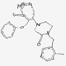 Cc1ccccc1CN1CCN(c2cn[nH]c(=O)c2Oc2ccccc2)CC1=O